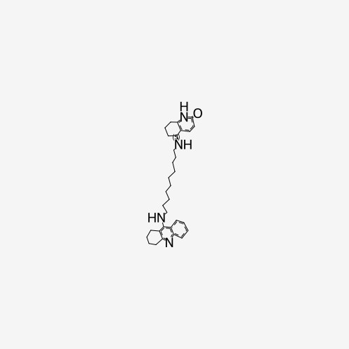 O=c1ccc2c([nH]1)CCC[C@@H]2NCCCCCCCCCCNc1c2c(nc3ccccc13)CCCC2